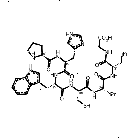 CC(C)C[C@H](NC(=O)[C@@H](NC(=O)[C@H](CS)NC(=O)[C@H](Cc1c[nH]c2ccccc12)NC(=O)[C@H](Cc1c[nH]cn1)NC(=O)[C@@H]1CCCN1)C(C)C)C(=O)NCC(=O)O